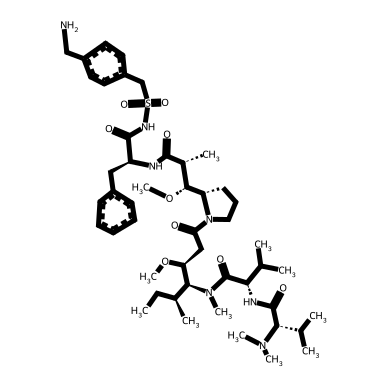 CC[C@H](C)[C@@H]([C@H](CC(=O)N1CCC[C@H]1[C@H](OC)[C@@H](C)C(=O)N[C@@H](Cc1ccccc1)C(=O)NS(=O)(=O)Cc1ccc(CN)cc1)OC)N(C)C(=O)[C@@H](NC(=O)[C@H](C(C)C)N(C)C)C(C)C